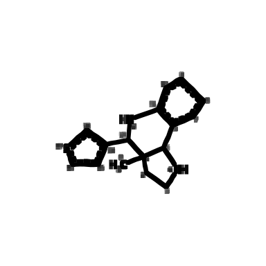 CC12CCNC1c1ccccc1NC2c1ccsc1